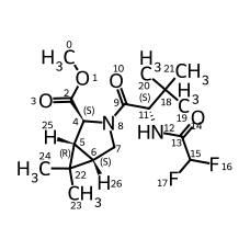 COC(=O)[C@@H]1[C@@H]2[C@H](CN1C(=O)[C@@H](NC(=O)C(F)F)C(C)(C)C)C2(C)C